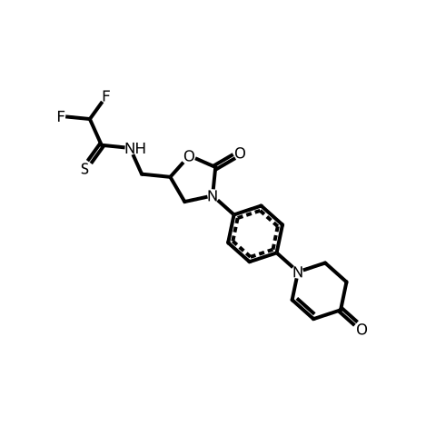 O=C1C=CN(c2ccc(N3CC(CNC(=S)C(F)F)OC3=O)cc2)CC1